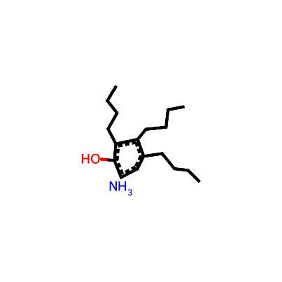 CCCCc1ccc(O)c(CCCC)c1CCCC.N